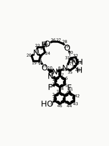 Oc1cc(-c2ccc3c4nc(nc3c2F)OC[C@]23CCCN2C[C@@H](C3)OCCCOC[C@@]23CC[C@@H](CN4C2)N3)c2c(F)cccc2c1